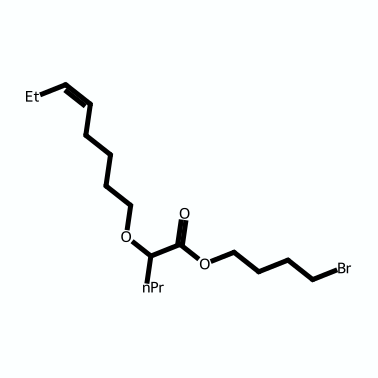 CC/C=C\CCCCOC(CCC)C(=O)OCCCCBr